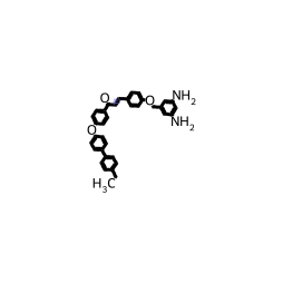 CCc1ccc(-c2ccc(Oc3ccc(C(=O)/C=C/c4ccc(OCc5cc(N)cc(N)c5)cc4)cc3)cc2)cc1